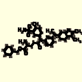 Cc1ccc(N(C(=O)CC[C@H](N)C(=O)OCc2ccccc2)c2nccc(N(C)c3ccc4c(C)n(C)nc4c3)n2)cc1S(N)(=O)=O